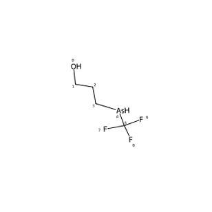 OCCC[AsH]C(F)(F)F